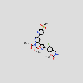 CC(C)S(=O)(=O)c1ccc(-c2cnc(N(C(=O)OC(C)(C)C)C(=O)OC(C)(C)C)c(-c3cc(-c4ccc(CN(C)C(=O)OC(C)(C)C)cc4F)no3)c2)nc1